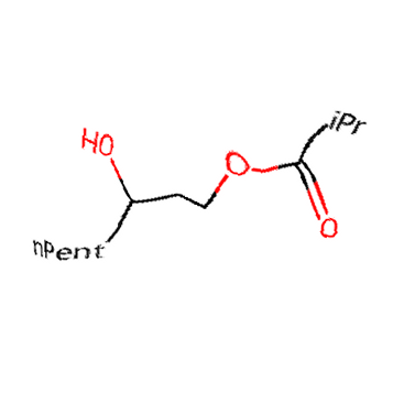 CCCCCC(O)COC(=O)C(C)C